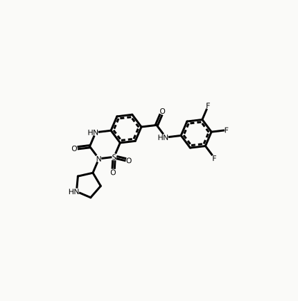 O=C(Nc1cc(F)c(F)c(F)c1)c1ccc2c(c1)S(=O)(=O)N(C1CCNC1)C(=O)N2